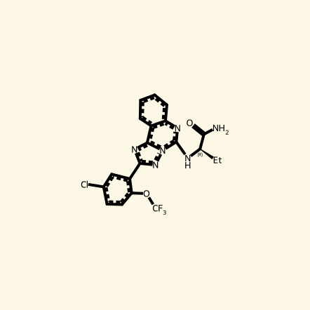 CC[C@@H](Nc1nc2ccccc2c2nc(-c3cc(Cl)ccc3OC(F)(F)F)nn12)C(N)=O